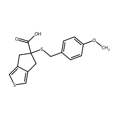 COc1ccc(CSC2(C(=O)O)Cc3cscc3C2)cc1